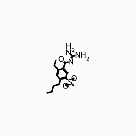 CCCCc1cc(CC)c(C(=O)N=C(N)N)cc1S(C)(=O)=O